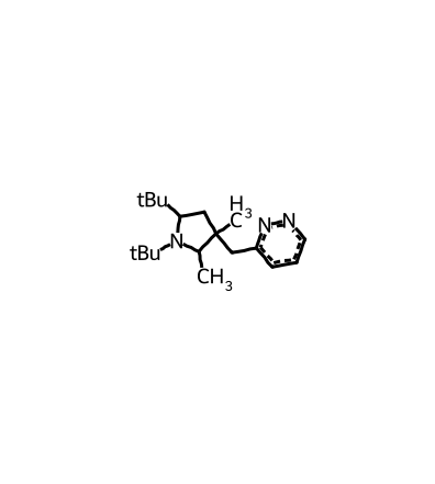 CC1N(C(C)(C)C)C(C(C)(C)C)CC1(C)Cc1cccnn1